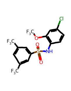 O=S(=O)(Nc1ccc(Cl)cc1OC(F)(F)F)c1cc(C(F)(F)F)cc(C(F)(F)F)c1